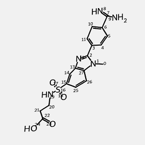 Cn1c(-c2ccc(C(=N)N)cc2)nc2cc(S(=O)(=O)NCCC(=O)O)ccc21